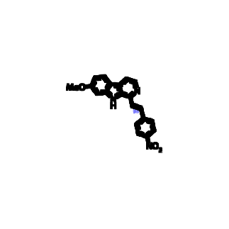 COc1ccc2c(c1)[nH]c1c(/C=C/c3ccc([N+](=O)[O-])cc3)nccc12